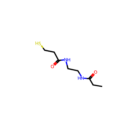 CCC(=O)NCCNC(=O)CCS